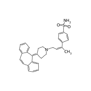 CC(=CCN1CCC(=C2c3ccccc3C=Cc3ccccc32)CC1)c1ccc(S(N)(=O)=O)cc1